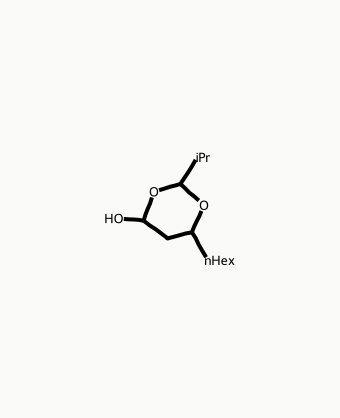 CCCCCCC1CC(O)OC(C(C)C)O1